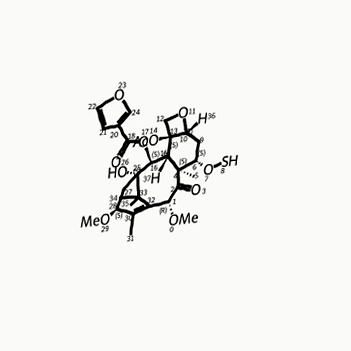 CO[C@H]1C(=O)[C@]2(C)[C@@H](OS)C[C@H]3OC[C@@]3(OC(C)=O)[C@H]2[C@H](OC(=O)c2ccoc2)[C@]2(O)C[C@H](OC)C(C)=C1C2(C)C